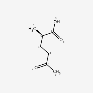 CC(=O)CC[C@@H](C)C(=O)O